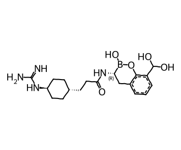 N=C(N)N[C@H]1CC[C@H](CCC(=O)N[C@H]2Cc3cccc(C(O)O)c3OB2O)CC1